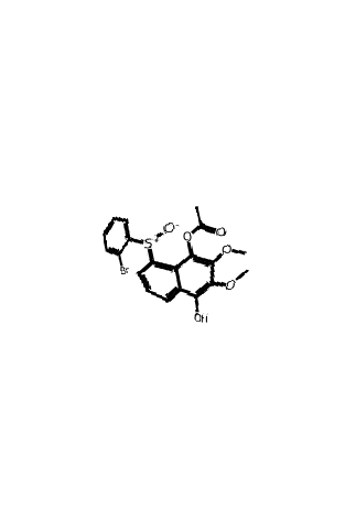 COc1c(OC)c(OC(C)=O)c2c([S+]([O-])c3ccccc3Br)cccc2c1O